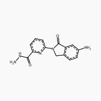 NNC(=O)c1cccc(N2Cc3ccc(N)cc3C2=O)n1